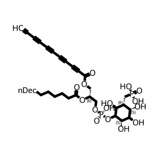 C#CC#CC#CC#CC#CC(=O)OC[C@H](COP(=O)(O)OC1C(O)[C@H](CP(=O)(O)O)[C@H](O)C(O)[C@@H]1O)OC(=O)CCCCCCCCCCCCCCC